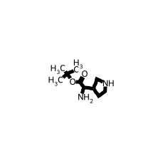 CC(C)(C)OC(=O)C(N)C1CCNC1